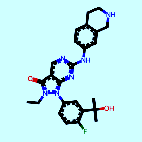 CCn1c(=O)c2cnc(Nc3ccc4c(c3)CNCC4)nc2n1-c1ccc(F)c(C(C)(C)O)c1